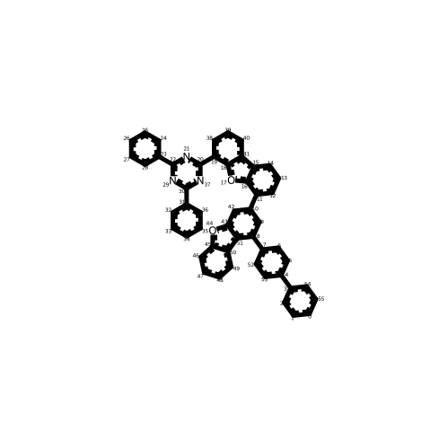 c1ccc(-c2ccc(-c3cc(-c4cccc5c4oc4c(-c6nc(-c7ccccc7)nc(-c7ccccc7)n6)cccc45)cc4oc5ccccc5c34)cc2)cc1